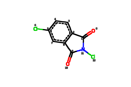 O=C1c2ccc(Cl)cc2C(=O)N1Cl